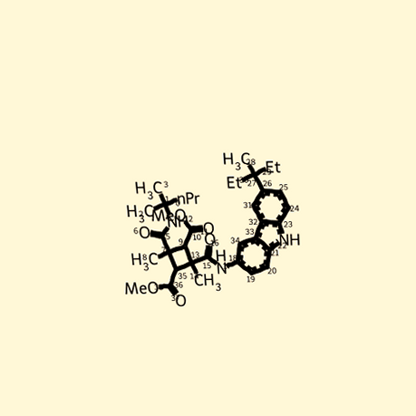 CCCC(C)(C)NC(=O)C1(C)C(C(=O)OC)C(C)(C(=O)Nc2ccc3[nH]c4ccc(C(C)(CC)CC)cc4c3c2)C1C(=O)OC